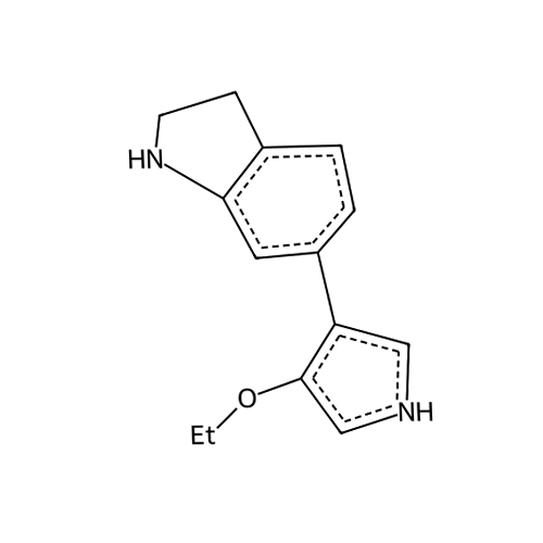 CCOc1c[nH]cc1-c1ccc2c(c1)NCC2